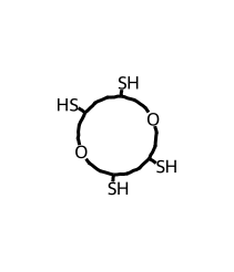 SC1CCOCCC(S)CCC(S)CCOCCC(S)CC1